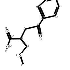 CSCC(CC(=O)c1ccccc1)C(=O)O